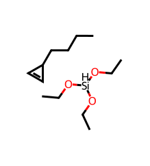 CCCCC1C=C1.CCO[SiH](OCC)OCC